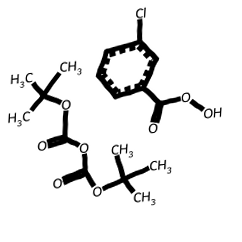 CC(C)(C)OC(=O)OC(=O)OC(C)(C)C.O=C(OO)c1cccc(Cl)c1